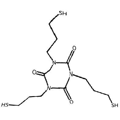 O=c1n(CCCS)c(=O)n(CCCS)c(=O)n1CCCS